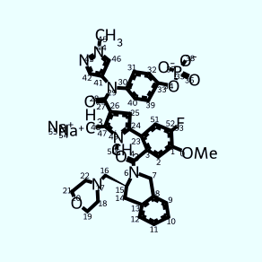 COc1cc(C(=O)N2Cc3ccccc3C[C@H]2CN2CCOCC2)c(-c2cc(C(=O)N(c3ccc(OP(=O)([O-])[O-])cc3)c3cnn(C)c3)c(C)n2C)cc1F.[Na+].[Na+]